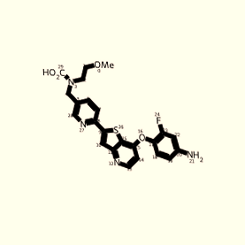 COCCN(Cc1ccc(-c2cc3nccc(Oc4ccc(N)cc4F)c3s2)nc1)C(=O)O